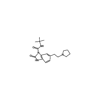 CC(C)(C)NC(=O)n1c(=O)[nH]c2ccc(CCN3CCCC3)cc21